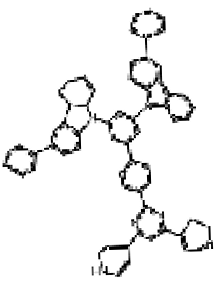 C1=CC2C(CC1)c1cc(-c3ccccc3)ccc1N2c1cc(-c2ccc(-c3nc(C4=CCNC=C4)cc(C4=CC=NCC4)n3)cc2)cc(-n2c3ccccc3c3cc(-c4ccccc4)ccc32)c1